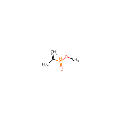 C=C(C)[PH](=O)OC